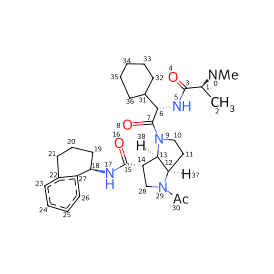 CN[C@@H](C)C(=O)N[C@H](C(=O)N1CC[C@@H]2[C@H]1[C@@H](C(=O)N[C@@H]1CCCc3ccccc31)CN2C(C)=O)C1CCCCC1